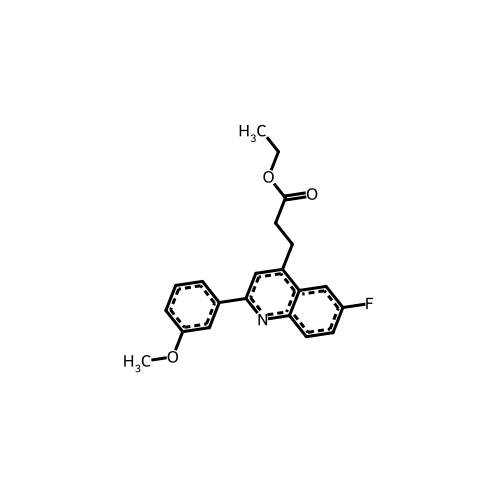 CCOC(=O)CCc1cc(-c2cccc(OC)c2)nc2ccc(F)cc12